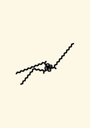 CCCCCCCCCCCCCCCCC(C)COP(=O)(OCC(C)CCCCCCCCCCCCCCCC)OCC(C)CCCCCCCCCCCCCCCC